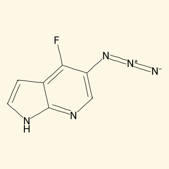 [N-]=[N+]=Nc1cnc2[nH]ccc2c1F